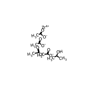 CC(=O)[O-].CC(=O)[O-].CC(=O)[O-].CC(=O)[O-].CC(C)O.[Zr+4]